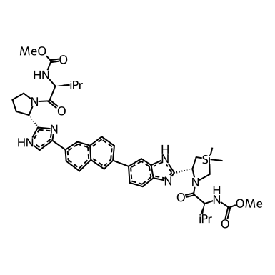 COC(=O)N[C@H](C(=O)N1CCC[C@H]1c1nc(-c2ccc3cc(-c4ccc5nc([C@@H]6C[Si](C)(C)CN6C(=O)[C@@H](NC(=O)OC)C(C)C)[nH]c5c4)ccc3c2)c[nH]1)C(C)C